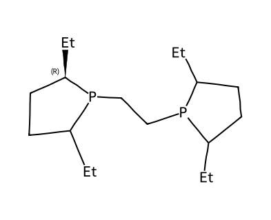 CCC1CCC(CC)P1CCP1C(CC)CC[C@H]1CC